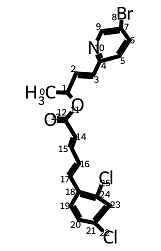 CC(C=Cc1ccc(Br)cn1)OC(=O)C=CC=Cc1ccc(Cl)cc1Cl